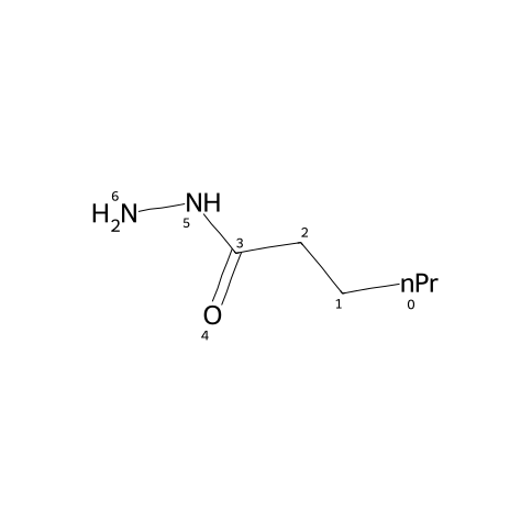 [CH2]CCCCC(=O)NN